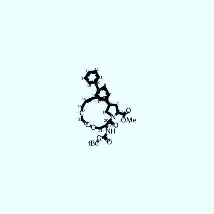 COC(=O)C1CC2(c3ccc(-c4ccccc4)cc3)CN1C(=O)C(NC(=O)OC(C)(C)C)CCCCCCC=CCS2